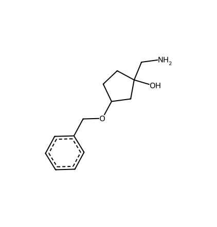 NCC1(O)CCC(OCc2ccccc2)C1